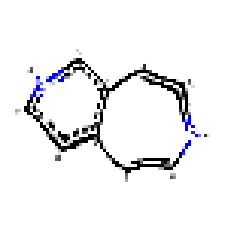 C1=Cc2cnccc2C=CN=1